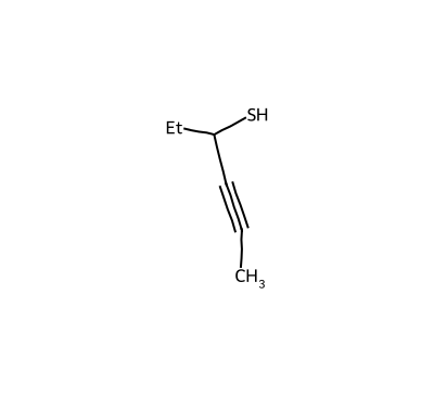 CC#CC(S)CC